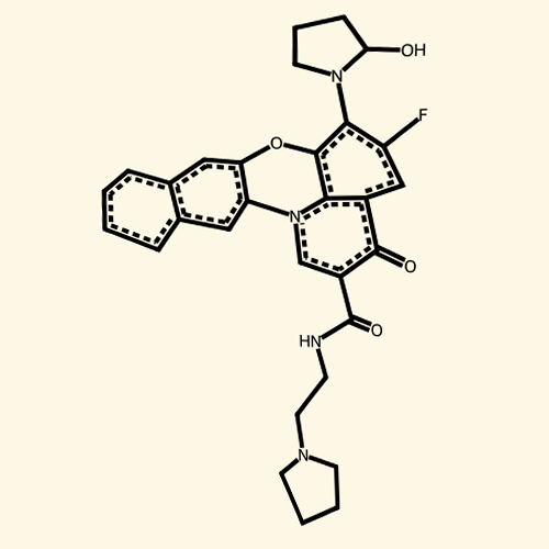 O=C(NCCN1CCCC1)c1cn2c3c(c(N4CCCC4O)c(F)cc3c1=O)Oc1cc3ccccc3cc1-2